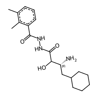 Cc1cccc(C(=O)NNC(=O)C(O)[C@H](N)CC2CCCCC2)c1C